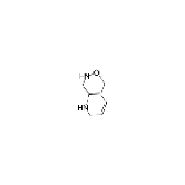 [C]1NOCC2=C1NCC=C2